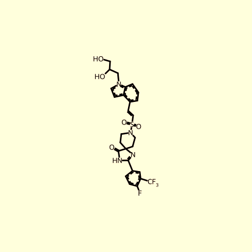 O=C1NC(c2ccc(F)c(C(F)(F)F)c2)=NC12CCN(S(=O)(=O)C=Cc1cccc3c1ccn3CC(O)CO)CC2